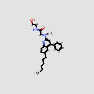 CCCCCCc1ccc2nc(N(C)CC(=O)NCCO)cc(-c3ccccc3)c2c1